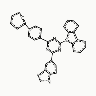 c1ccc(-c2ccc(-c3nc(-c4ccc5ncsc5c4)nc(-n4c5ccccc5c5ccccc54)n3)cc2)cc1